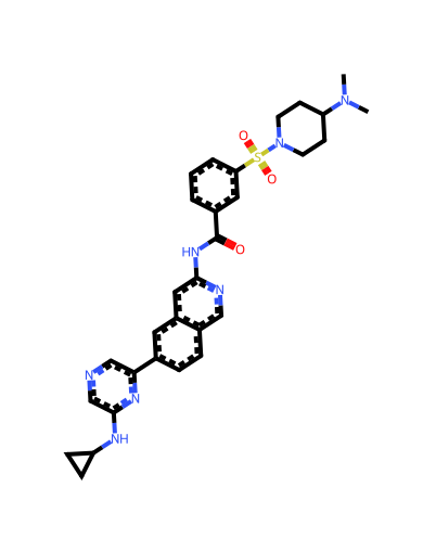 CN(C)C1CCN(S(=O)(=O)c2cccc(C(=O)Nc3cc4cc(-c5cncc(NC6CC6)n5)ccc4cn3)c2)CC1